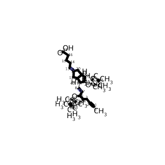 CC#CCC(C)C(/C=C/[C@@H]1[C@H]2C/C(=C/CCCC(=O)O)C[C@H]2C[C@H]1O[Si](C)(C)C(C)(C)C)O[Si](C)(C)C(C)(C)C